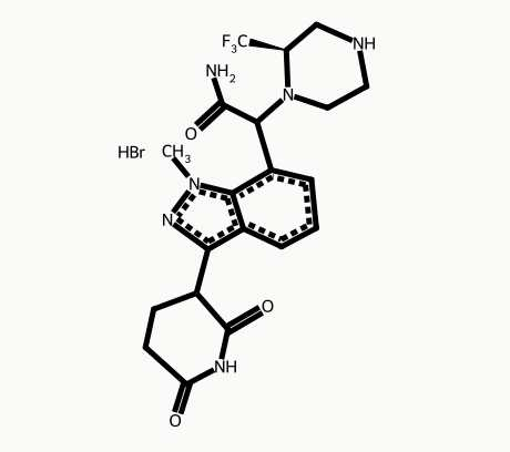 Br.Cn1nc(C2CCC(=O)NC2=O)c2cccc(C(C(N)=O)N3CCNC[C@@H]3C(F)(F)F)c21